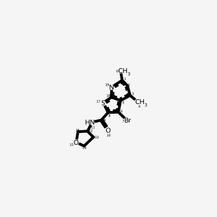 Cc1cc(C)c2c(Br)c(C(=O)NC3CCOC3)sc2n1